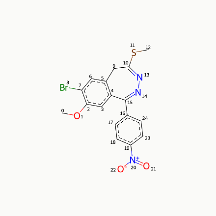 COc1cc2c(cc1Br)CC(SC)=NN=C2c1ccc([N+](=O)[O-])cc1